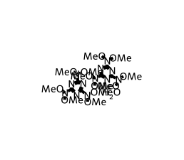 CON(OC)c1nc(N(OC)OC)nc(N(OC)OC)n1.CON(OC)c1nc(N(OC)OC)nc(N(OC)OC)n1.O